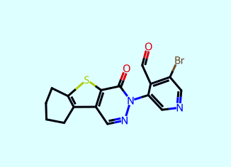 O=Cc1c(Br)cncc1-n1ncc2c3c(sc2c1=O)CCCC3